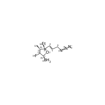 B[C@@H]1O[C@](C=CCN=[N+]=[N-])(CC)[C@H](C)C1F